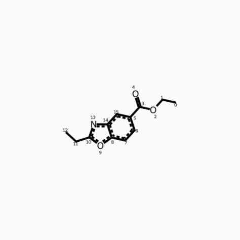 CCOC(=O)c1ccc2oc(CC)nc2c1